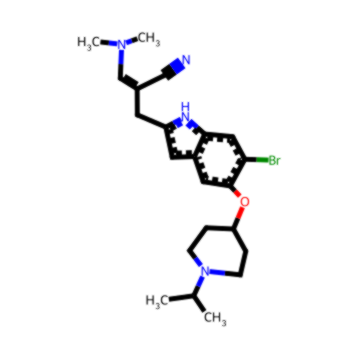 CC(C)N1CCC(Oc2cc3cc(C/C(C#N)=C/N(C)C)[nH]c3cc2Br)CC1